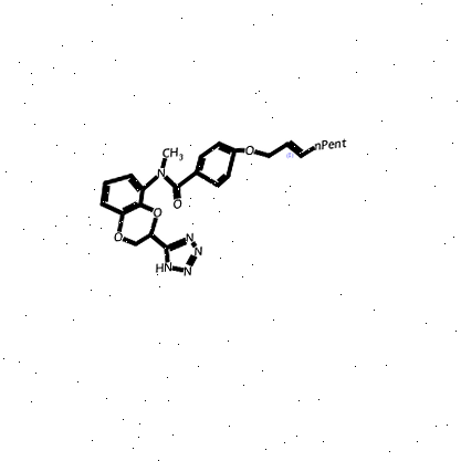 CCCCC/C=C/COc1ccc(C(=O)N(C)c2cccc3c2OC(c2nnn[nH]2)CO3)cc1